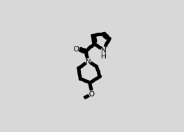 COC1CCN(C(=O)c2ccc[nH]2)CC1